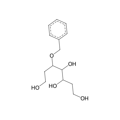 OCCC(O)C(O)C(CCO)OCc1ccccc1